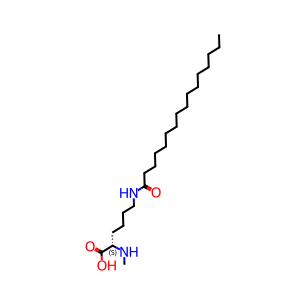 CCCCCCCCCCCCCCCC(=O)NCCCC[C@H](NC)C(=O)O